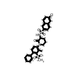 CS(=O)(=O)c1c(-c2ccccc2)ccc(N2CCCC(NS(=O)(=O)c3ccc4cc(Cl)ccc4c3)C2=O)c1F